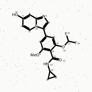 COc1cc(-c2cnc3cc(O)ccn23)cc(OC(F)F)c1C(=O)NC1CC1